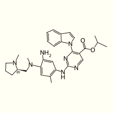 Cc1cc(N(C)C[C@H]2CCCN2C)c(N)cc1Nc1ncc(C(=O)OC(C)C)c(-n2ccc3ccccc32)n1